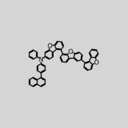 c1ccc(N(c2ccc(-c3cccc4ccccc34)cc2)c2ccc3c(c2)oc2cccc(-c4cccc5c4oc4ccc(-c6cccc7oc8ccccc8c67)cc45)c23)cc1